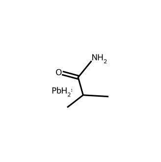 CC(C)C(N)=O.[PbH2]